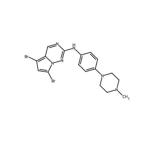 CN1CCN(c2ccc(Nc3ncc4c(Br)cc(Br)n4n3)cc2)CC1